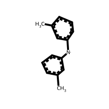 Cc1cccc([N]c2cccc(C)c2)c1